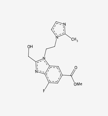 COC(=O)c1cc(F)c2nc(CO)n(CCn3ccnc3C)c2c1